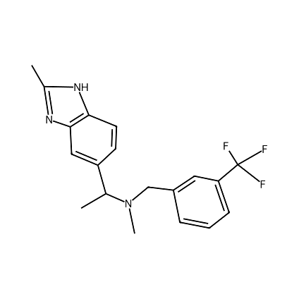 Cc1nc2cc(C(C)N(C)Cc3cccc(C(F)(F)F)c3)ccc2[nH]1